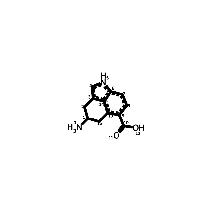 NC1Cc2c[nH]c3ccc(C(=O)O)c(c23)C1